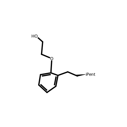 CCC[C@H](C)CCc1ccccc1OCCO